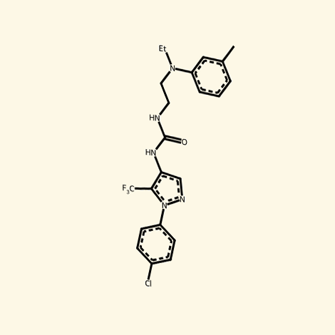 CCN(CCNC(=O)Nc1cnn(-c2ccc(Cl)cc2)c1C(F)(F)F)c1cccc(C)c1